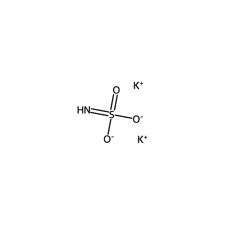 N=S(=O)([O-])[O-].[K+].[K+]